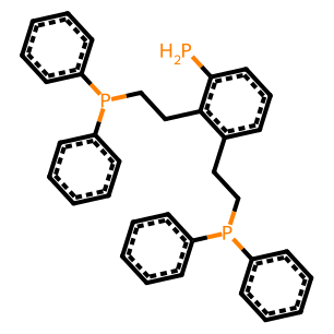 Pc1cccc(CCP(c2ccccc2)c2ccccc2)c1CCP(c1ccccc1)c1ccccc1